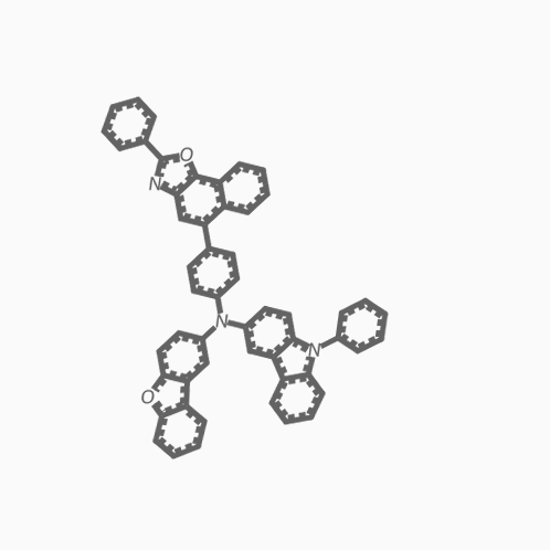 c1ccc(-c2nc3cc(-c4ccc(N(c5ccc6oc7ccccc7c6c5)c5ccc6c(c5)c5ccccc5n6-c5ccccc5)cc4)c4ccccc4c3o2)cc1